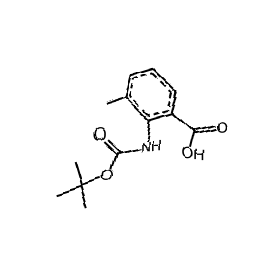 Cc1cccc(C(=O)O)c1NC(=O)OC(C)(C)C